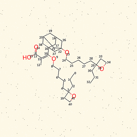 CCCC1(CCCCCOC(=C(C)C(=O)O)C23CC4CC(CC(OCCCCCC5(CCC)CCO5)(C4)C2)C3)CCO1